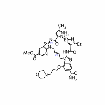 CCn1nc(C)cc1C(=O)/N=c1/sc2cc(C(=O)OC)cnc2n1C/C=C/Cn1c(NC(=O)c2cc(C)nn2CC)nc2cc(C(N)=O)cc(OCCCN3CCOCC3)c21